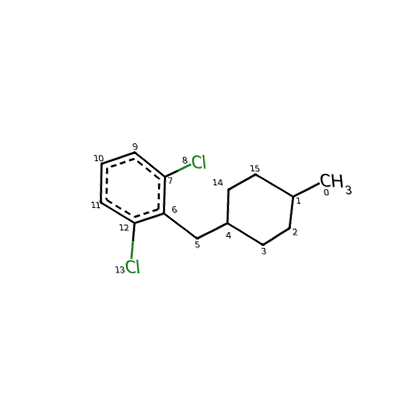 CC1CCC(Cc2c(Cl)cccc2Cl)CC1